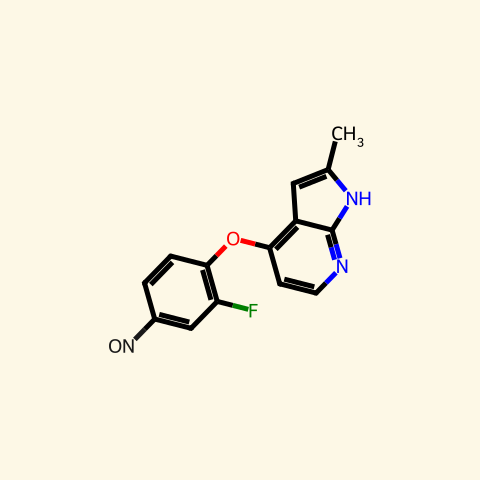 Cc1cc2c(Oc3ccc(N=O)cc3F)ccnc2[nH]1